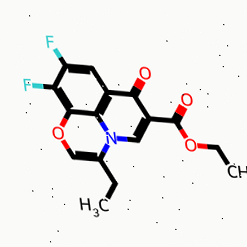 CCOC(=O)c1cn2c3c(c(F)c(F)cc3c1=O)OC=C2CC